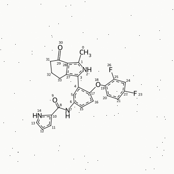 Cc1[nH]c(-c2cc(NC(=O)c3ccc[nH]3)ccc2Oc2ccc(F)cc2F)c2c1C(=O)CCC2